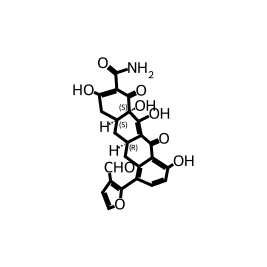 NC(=O)C1=C(O)C[C@@H]2C[C@@H]3Cc4c(-c5occc5C=O)ccc(O)c4C(=O)C3=C(O)[C@]2(O)C1=O